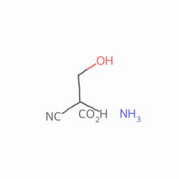 N.N#CC(CO)C(=O)O